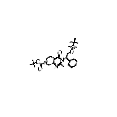 Cc1nc2c(c(=O)n1C(CO[Si](C)(C)C(C)(C)C)c1ccccc1)CCN(C(=O)OC(C)(C)C)C2